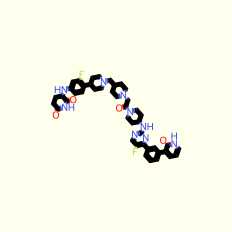 O=C1CCC(Nc2ccc(C3CCN(CC4CCN(CC(=O)N5CCC(Nc6ncc(F)c(-c7cccc(-c8ccc[nH]c8=O)c7)n6)CC5)CC4)CC3)c(F)c2)C(=O)N1